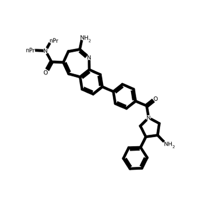 CCCN(CCC)C(=O)C1=Cc2ccc(-c3ccc(C(=O)N4CC(N)C(c5ccccc5)C4)cc3)cc2N=C(N)C1